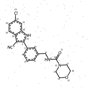 N#Cc1c(-c2cncc(CNC(=O)N3CCOCC3)c2)[nH]c2cc(Cl)ccc12